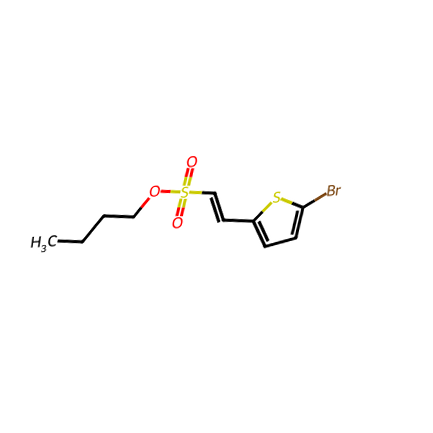 CCCCOS(=O)(=O)/C=C/c1ccc(Br)s1